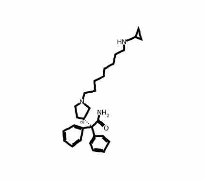 NC(=O)C(c1ccccc1)(c1ccccc1)[C@@H]1CCN(CCCCCCCCNC2CC2)C1